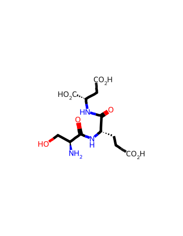 N[C@@H](CO)C(=O)N[C@@H](CCC(=O)O)C(=O)N[C@@H](CC(=O)O)C(=O)O